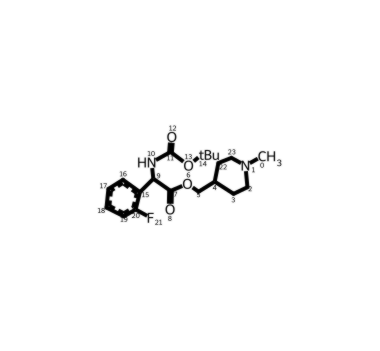 CN1CCC(COC(=O)C(NC(=O)OC(C)(C)C)c2ccccc2F)CC1